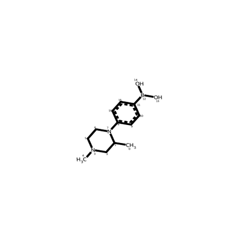 CC1CN(C)CCN1c1ccc(B(O)O)cc1